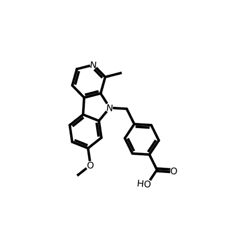 COc1ccc2c3ccnc(C)c3n(Cc3ccc(C(=O)O)cc3)c2c1